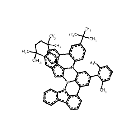 Cc1cccc(C)c1-c1cc2c3c(c1)N(c1ccc(C(C)(C)C)cc1-c1ccccc1)c1c(sc4cc5c(cc14)C(C)(C)CCC5(C)C)B3n1c3ccccc3c3cccc-2c31